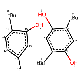 CC(C)(C)c1cc(O)c(C(C)(C)C)cc1O.Cc1ccc(C(C)(C)C)c(O)c1